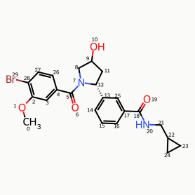 COc1cc(C(=O)N2CC(O)C[C@@H]2c2cccc(C(=O)NCC3CC3)c2)ccc1Br